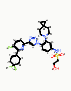 O=S(=O)(CCO)Nc1ccc(-n2cc(-c3ccc(F)c(C4=CCC(F)(F)CC4)n3)nn2)c(N2CCC3(CC2)CC3)c1